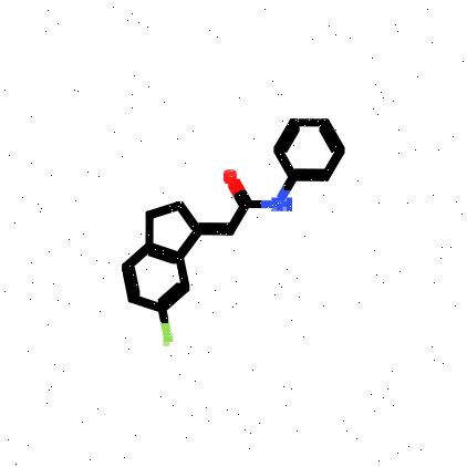 O=C(C=C1CCc2ccc(F)cc21)Nc1ccccc1